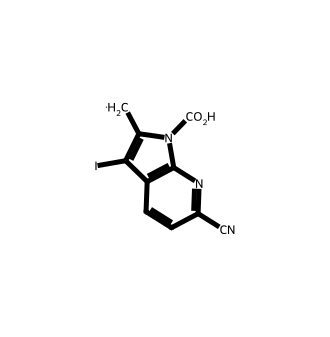 [CH2]c1c(I)c2ccc(C#N)nc2n1C(=O)O